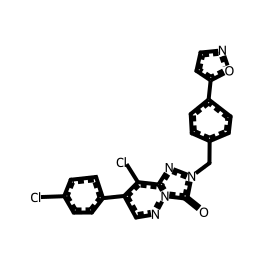 O=c1n(Cc2ccc(-c3ccno3)cc2)nc2c(Cl)c(-c3ccc(Cl)cc3)cnn12